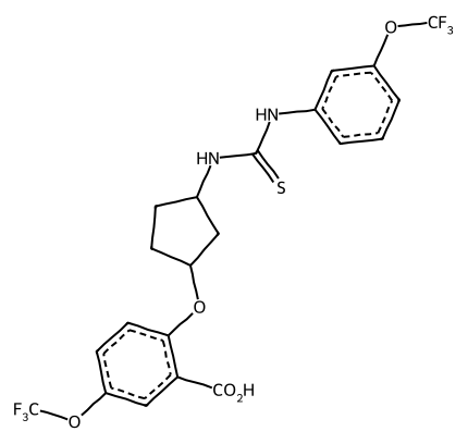 O=C(O)c1cc(OC(F)(F)F)ccc1OC1CCC(NC(=S)Nc2cccc(OC(F)(F)F)c2)C1